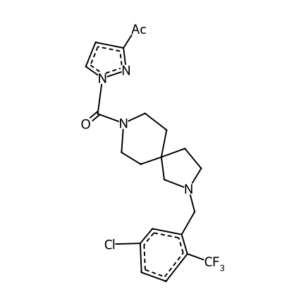 CC(=O)c1ccn(C(=O)N2CCC3(CCN(Cc4cc(Cl)ccc4C(F)(F)F)C3)CC2)n1